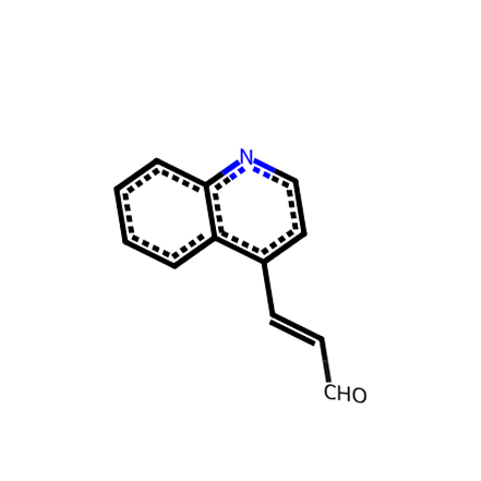 O=C/C=C/c1ccnc2ccccc12